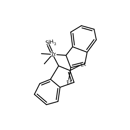 CCC1=Cc2ccccc2[CH]1[Zr]([CH3])([CH3])(=[SiH2])[CH]1C(CC)=Cc2ccccc21